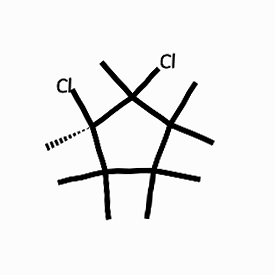 CC1(C)C(C)(C)C(C)(Cl)[C@](C)(Cl)C1(C)C